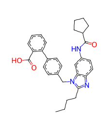 CCCCc1nc2ccc(NC(=O)C3CCCC3)cc2n1Cc1ccc(-c2ccccc2C(=O)O)cc1